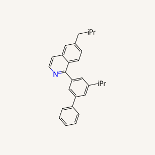 CC(C)Cc1ccc2c(-c3cc(-c4ccccc4)cc(C(C)C)c3)nccc2c1